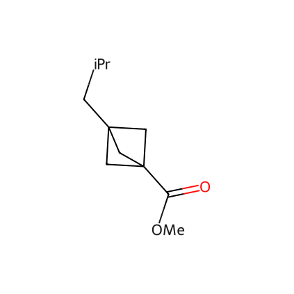 COC(=O)C12CC(CC(C)C)(C1)C2